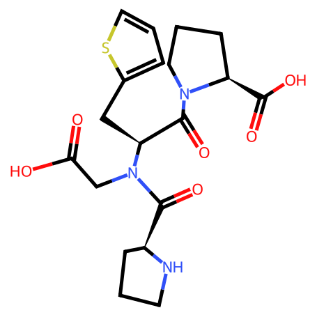 O=C(O)CN(C(=O)[C@@H]1CCCN1)[C@@H](Cc1cccs1)C(=O)N1CCC[C@H]1C(=O)O